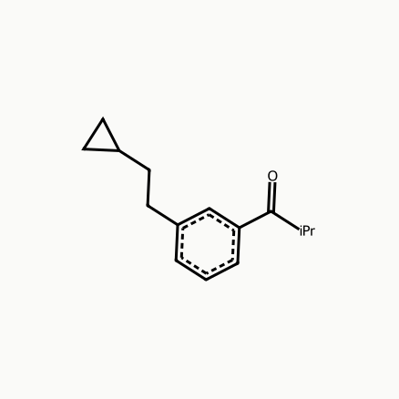 CC(C)C(=O)c1cccc(CCC2CC2)c1